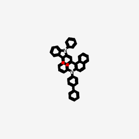 c1ccc(-c2ccc(N(c3ccccc3)c3ccc4ccccc4c3-c3ccc4c5ccccc5n(-c5ccccc5)c4c3)cc2)cc1